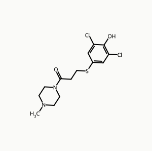 CN1CCN(C(=O)CCSc2cc(Cl)c(O)c(Cl)c2)CC1